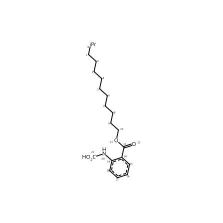 CC(C)CCCCCCCCCCOC(=O)c1ccccc1NC(=O)O